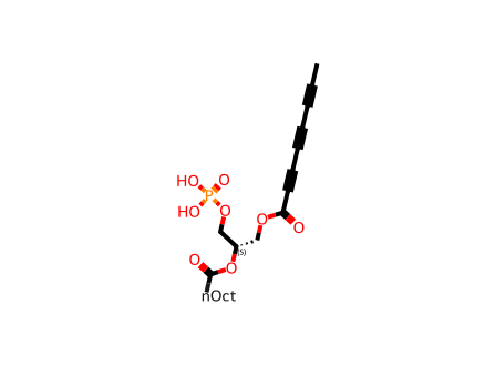 CC#CC#CC#CC(=O)OC[C@@H](COP(=O)(O)O)OC(=O)CCCCCCCC